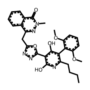 CCCCc1nc(O)c(-c2nnc(Cc3nn(C)c(=O)c4ccccc34)o2)c(O)c1-c1c(OC)cccc1OC